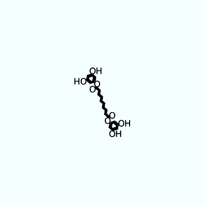 O=C(CCCCCCCCC(=O)Oc1cc(O)cc(O)c1)Oc1cc(O)cc(O)c1